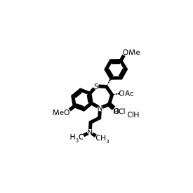 COc1ccc([C@H]2Sc3ccc(OC)cc3N(CCN(C)C)C(=O)[C@H]2OC(C)=O)cc1.Cl.Cl